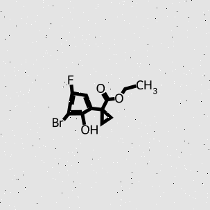 CCOC(=O)C1(c2cc(F)cc(Br)c2O)CC1